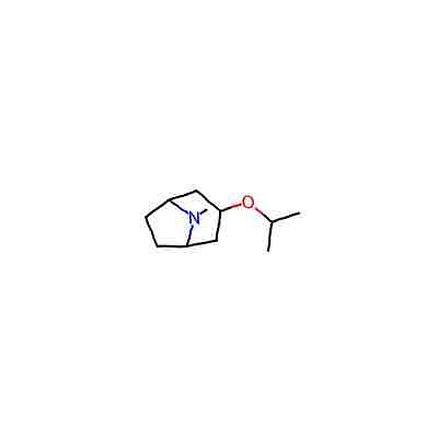 CC(C)OC1CC2CCC(C1)N2C